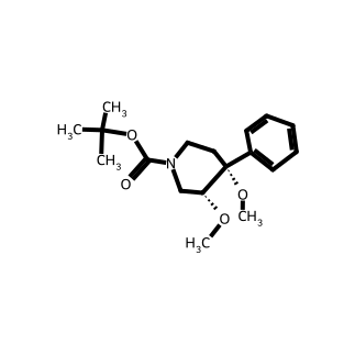 CO[C@@H]1CN(C(=O)OC(C)(C)C)CC[C@@]1(OC)c1ccccc1